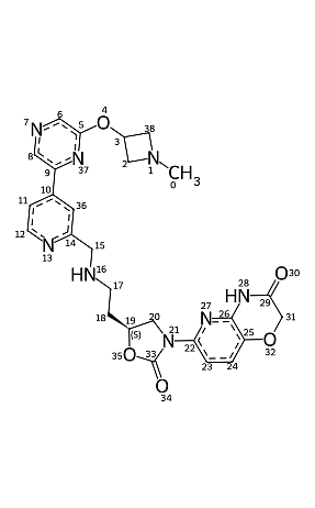 CN1CC(Oc2cncc(-c3ccnc(CNCC[C@H]4CN(c5ccc6c(n5)NC(=O)CO6)C(=O)O4)c3)n2)C1